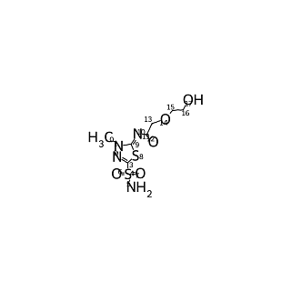 Cn1nc(S(N)(=O)=O)sc1=NC(=O)COCCO